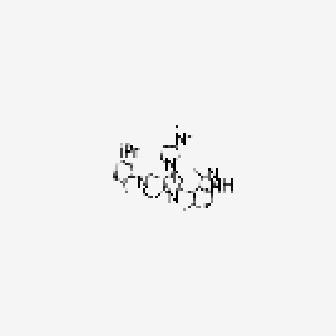 Cc1ccc(C(C)C)cc1N1CCc2nc(-c3c(C)ccc4[nH]nc(C)c34)nc(N3CCC(N(C)C)C3)c2C1